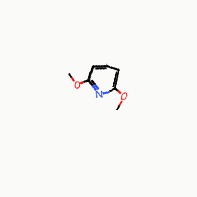 COc1c[c]cc(OC)n1